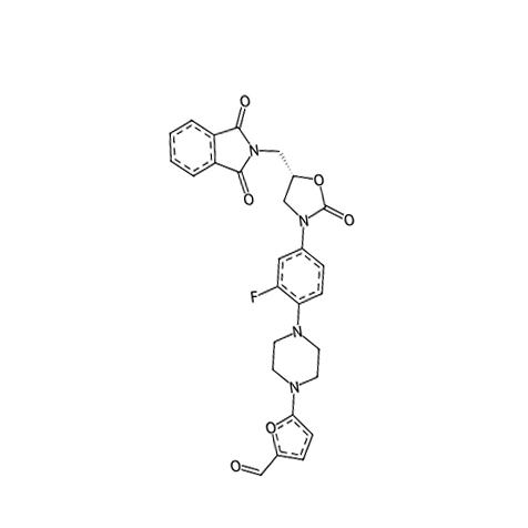 O=Cc1ccc(N2CCN(c3ccc(N4C[C@H](CN5C(=O)c6ccccc6C5=O)OC4=O)cc3F)CC2)o1